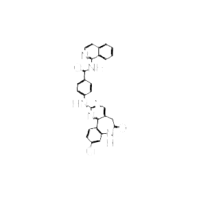 O=C1Cc2cnc(Nc3ccc(C(=O)Nc4nccc5ccccc45)cc3)nc2-c2ccc(Cl)cc2N1